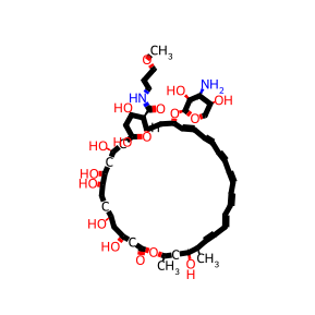 COCCCNC(=O)[C@H]1[C@@H]2CC(O[C@@H]3OC[C@@H](O)[C@H](N)[C@@H]3O)/C=C/C=C/C=C/C=C/C=C/C=C/C=C/[C@H](C)[C@@H](O)C[C@H](C)OC(=O)CC(O)C[C@H](O)CCC(O)C(O)C[C@H](O)CC(O)(C[C@@H]1O)O2